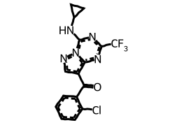 O=C(c1ccccc1Cl)c1cnn2c(NC3CC3)nc(C(F)(F)F)nc12